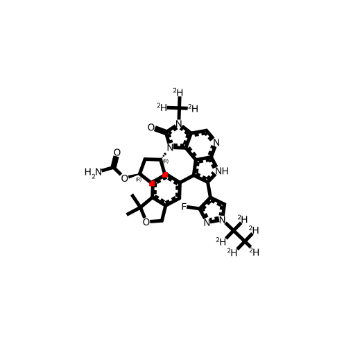 [2H]C([2H])([2H])n1c(=O)n([C@@H]2CC[C@@H](OC(N)=O)C2)c2c3c(-c4ccc5c(c4)COC5(C)C)c(-c4cn(C([2H])([2H])C([2H])([2H])[2H])nc4F)[nH]c3ncc21